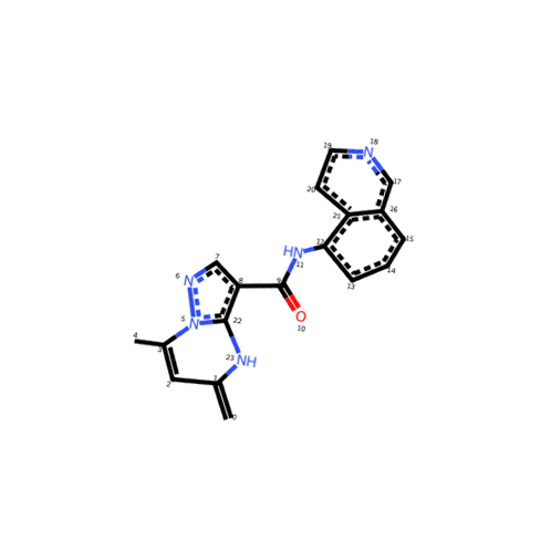 C=C1C=C(C)n2ncc(C(=O)Nc3cccc4cnccc34)c2N1